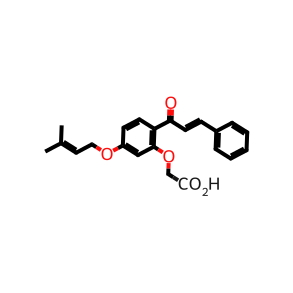 CC(C)=CCOc1ccc(C(=O)/C=C/c2ccccc2)c(OCC(=O)O)c1